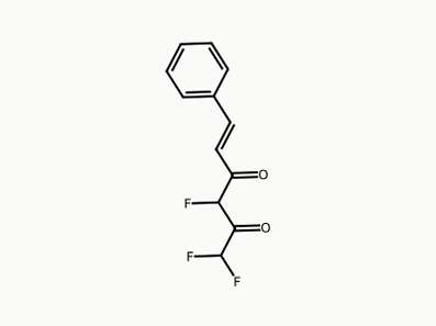 O=C(C=Cc1ccccc1)C(F)C(=O)C(F)F